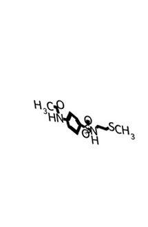 CSCCNS(=O)(=O)c1ccc(NC(C)=O)cc1